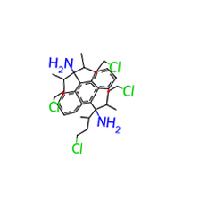 CC(CCCl)C(N)(c1c2ccccc2c(C(N)(C(C)CCCl)C(C)CCCl)c2ccccc12)C(C)CCCl